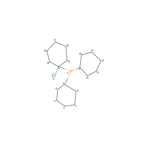 ClC1(P(C2CCCCC2)C2CCCCC2)CCCCC1